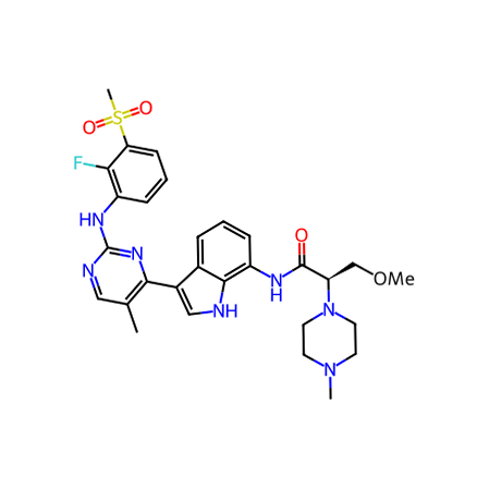 COC[C@H](C(=O)Nc1cccc2c(-c3nc(Nc4cccc(S(C)(=O)=O)c4F)ncc3C)c[nH]c12)N1CCN(C)CC1